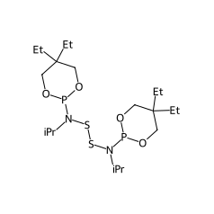 CCC1(CC)COP(N(SSN(C(C)C)P2OCC(CC)(CC)CO2)C(C)C)OC1